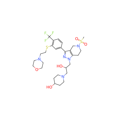 CS(=O)(=O)N1CCc2c(c(-c3ccc(C(F)(F)F)c(SCCN4CCOCC4)c3)nn2CC(O)CN2CCC(O)CC2)C1